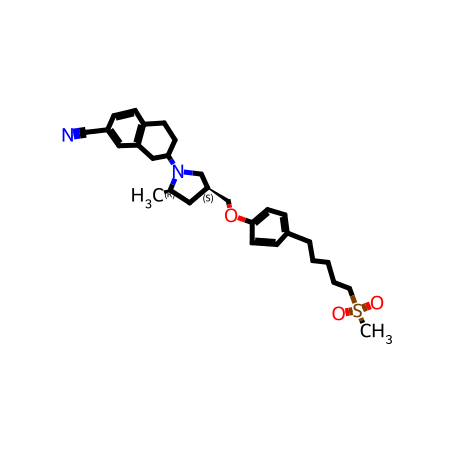 C[C@@H]1C[C@H](COc2ccc(CCCCCS(C)(=O)=O)cc2)CN1C1CCc2ccc(C#N)cc2C1